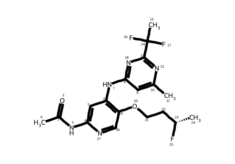 CC(=O)Nc1cc(Nc2cc(C)nc(C(C)(F)F)n2)c(OCC[C@H](C)F)cn1